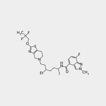 CCC(CCC(I)NC(=O)c1ccc(F)c2nn(C)cc12)CCN1CCc2sc(OCC(C)(F)F)nc2C1